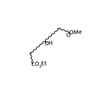 CCOC(=O)CCCC/C=C\CCCCCCCCC(O)CCCCCCCC/C=C\CCCCC(=O)OC